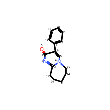 O=c1nc2n(cc1-c1ccccc1)CCCCC2